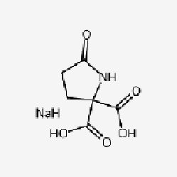 O=C1CCC(C(=O)O)(C(=O)O)N1.[NaH]